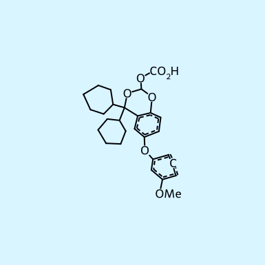 COc1cccc(Oc2ccc3c(c2)C(C2CCCCC2)(C2CCCCC2)OC(OC(=O)O)O3)c1